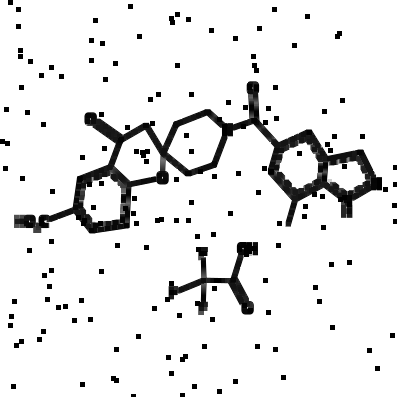 Cc1cc(C(=O)N2CCC3(CC2)CC(=O)c2cc(C(=O)O)ccc2O3)cc2cn[nH]c12.O=C(O)C(F)(F)F